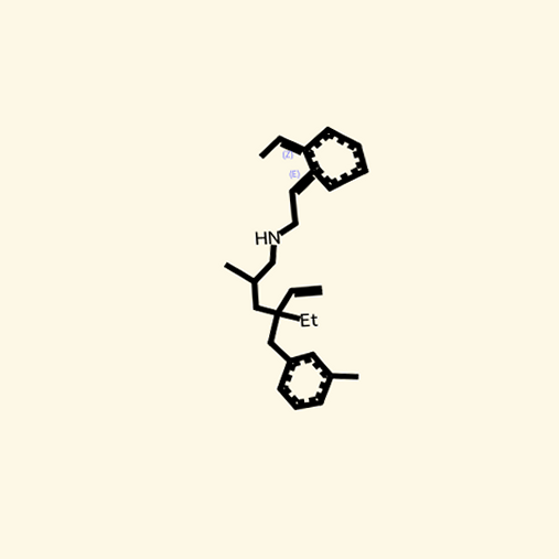 C=CC(CC)(Cc1cccc(C)c1)CC(C)CNC/C=c1\cccc\c1=C\C